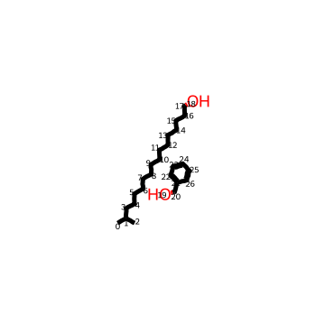 CC(C)CCCCCCCCCCCCCCCO.OCc1ccccc1